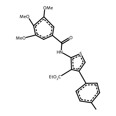 CCOC(=O)c1c(-c2ccc(C)cc2)csc1NC(=O)c1cc(OC)c(OC)c(OC)c1